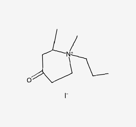 CCC[N+]1(C)CCC(=O)CC1C.[I-]